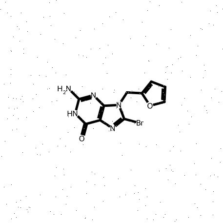 Nc1nc2c(nc(Br)n2Cc2ccco2)c(=O)[nH]1